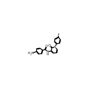 Nc1ccc(C(=O)Nc2cccn(-c3ccc(F)cc3)c2=O)cc1